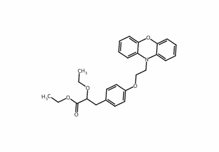 CCOC(=O)C(Cc1ccc(OCCN2c3ccccc3Oc3ccccc32)cc1)OCC